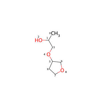 CC(O)COC1CCOC1